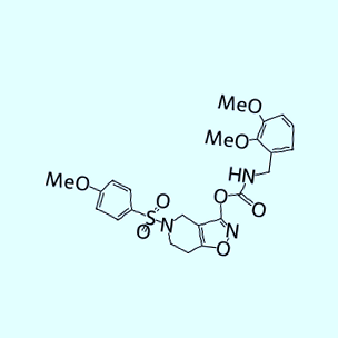 COc1ccc(S(=O)(=O)N2CCc3onc(OC(=O)NCc4cccc(OC)c4OC)c3C2)cc1